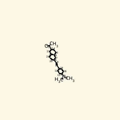 CC(=O)c1ccc2cc(C#Cc3ccc(N(C)C)cc3)ccc2c1